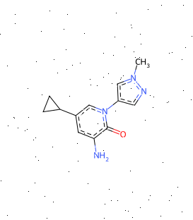 Cn1cc(-n2cc(C3CC3)cc(N)c2=O)cn1